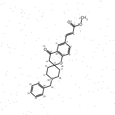 COC(=O)C=Cc1ccc2c(c1)C(=O)CC1(CCN(Cc3ccccc3)CC1)O2